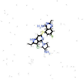 CCc1[nH]c2cc(Sc3cc(F)cc4nc(C)nc(N)c34)nc(N3CC[C@@H](N)C3)c2c1Cl